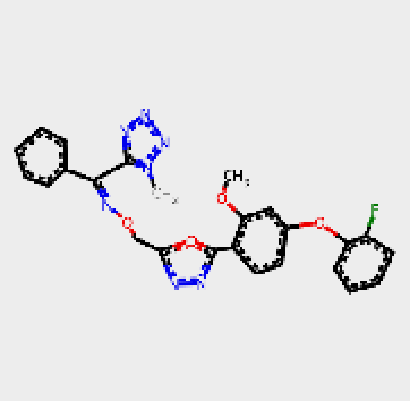 COc1cc(Oc2ccccc2F)ccc1-c1nnc(CO/N=C(/c2ccccc2)c2nnnn2C)o1